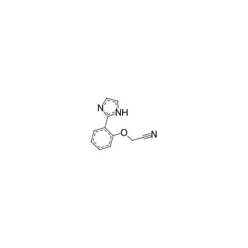 N#CCOc1ccccc1-c1ncc[nH]1